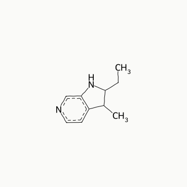 CCC1Nc2cnccc2C1C